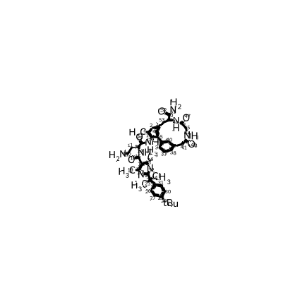 Cc1cc2cc(c1NC(=O)[C@H](CCN)NC(=O)c1c(C)nc(C(C)(C)c3ccc(C(C)(C)C)cc3)nc1C)-c1cccc(c1)CC(=O)NCC(=O)NC(C(N)=O)C2